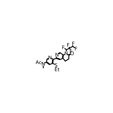 CCSc1cc(N(C)C(C)=O)cnc1-c1cc2c(cn1)N(C(F)C(F)(F)C(F)F)C(=O)CC2